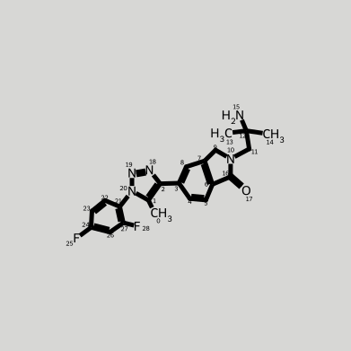 Cc1c(-c2ccc3c(c2)CN(CC(C)(C)N)C3=O)nnn1-c1ccc(F)cc1F